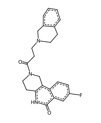 O=C(CCN1CCc2ccccc2C1)N1CCc2[nH]c(=O)c3cc(F)ccc3c2C1